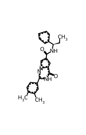 CC[C@@H](NC(=O)c1cc2c(=O)[nH]c(-c3ccc(C)c(C)c3)nn2c1)c1ccccc1